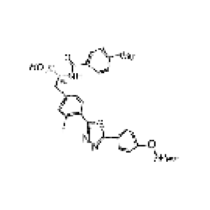 CCCCCCCOc1ccc(-c2nnc(-c3ccc(C[C@@H](NC(=O)c4ccc(C(C)(C)C)cc4)C(=O)O)cc3F)s2)cc1